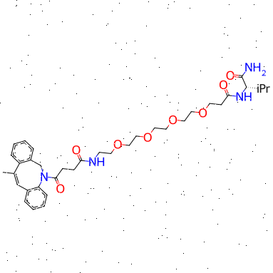 C/C1=C/c2ccccc2N(C(=O)CCC(=O)NCCOCCOCCOCCOCCC(=O)N[C@H](C(N)=O)C(C)C)Cc2ccccc21